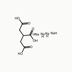 O=C(O)CC(CC(=O)O)C(=O)O.[NaH].[NaH].[NaH].[NaH]